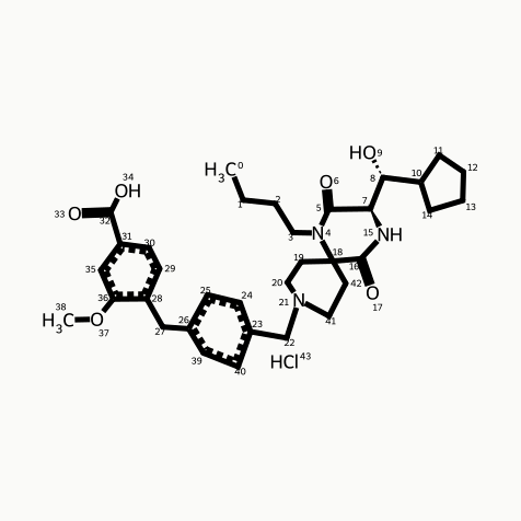 CCCCN1C(=O)[C@@H]([C@H](O)C2CCCC2)NC(=O)C12CCN(Cc1ccc(Cc3ccc(C(=O)O)cc3OC)cc1)CC2.Cl